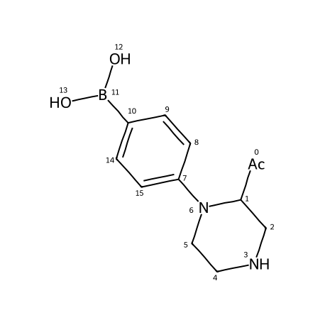 CC(=O)C1CNCCN1c1ccc(B(O)O)cc1